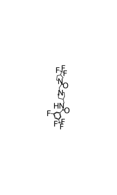 O=C(NCC1CCN(CC(=O)N2CCC(C(F)(F)F)C2)CC1)c1cc(F)cc(C(F)(F)F)c1